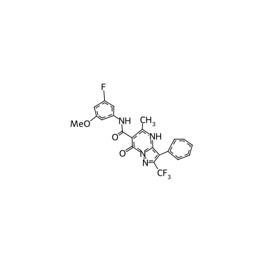 COc1cc(F)cc(NC(=O)c2c(C)[nH]c3c(-c4ccccc4)c(C(F)(F)F)nn3c2=O)c1